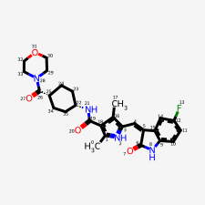 Cc1[nH]c(/C=C2\C(=O)Nc3ccc(F)cc32)c(C)c1C(=O)N[C@H]1CC[C@@H](C(=O)N2CCOCC2)CC1